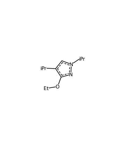 CCOc1nn(C(C)C)cc1C(C)C